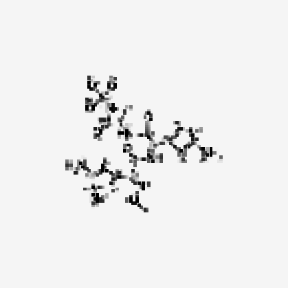 CON=C(C(=O)NC(C(=O)NC1CN(S(=O)(=O)[O-])C1=O)c1csc(N)n1)c1csc(N)n1.[Na+]